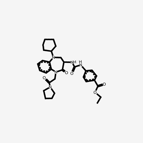 CCOC(=O)c1ccc(NC(=O)NC2CN(C3CCCCC3)c3ccccc3N(CC(=O)N3CCCC3)C2=O)cc1